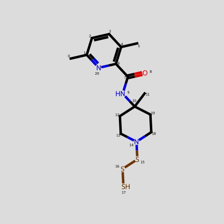 Cc1ccc(C)c(C(=O)NC2(C)CCN(SSS)CC2)n1